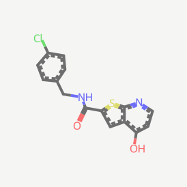 O=C(NCc1ccc(Cl)cc1)c1cc2c(O)ccnc2s1